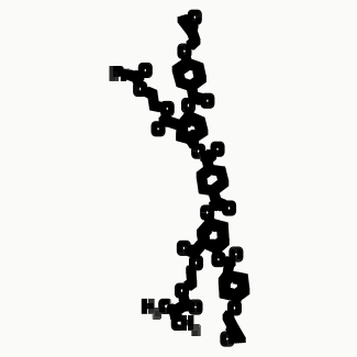 C=C(C)C(=O)OCCOC(=O)c1cc(OC(=O)C2CCC(C(=O)Oc3ccc(OC(=O)C4C=CC(OCC5CO5)=CC4)c(C(=O)OCCOC(=O)C(C)C)c3)CC2)ccc1OC(=O)c1ccc(OCC2CO2)cc1